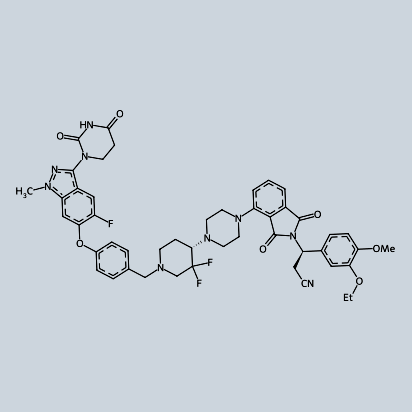 CCOc1cc([C@@H](CC#N)N2C(=O)c3cccc(N4CCN([C@H]5CCN(Cc6ccc(Oc7cc8c(cc7F)c(N7CCC(=O)NC7=O)nn8C)cc6)CC5(F)F)CC4)c3C2=O)ccc1OC